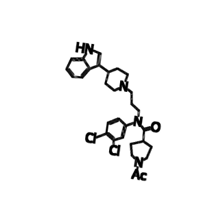 CC(=O)N1CCC(C(=O)N(CCCN2CCC(c3c[nH]c4ccccc34)CC2)c2ccc(Cl)c(Cl)c2)CC1